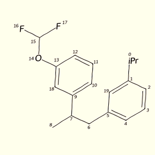 CC(C)c1cccc(CC(C)c2cccc(OC(F)F)c2)c1